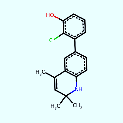 CC1=CC(C)(C)Nc2ccc(-c3cccc(O)c3Cl)cc21